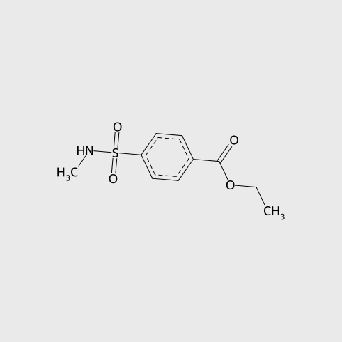 CCOC(=O)c1ccc(S(=O)(=O)NC)cc1